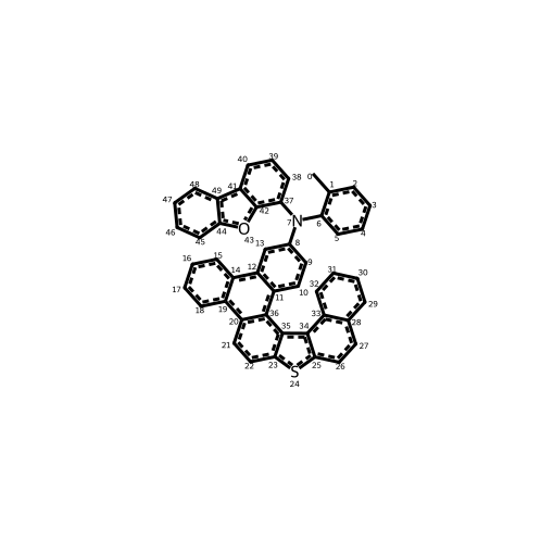 Cc1ccccc1N(c1ccc2c(c1)c1ccccc1c1ccc3sc4ccc5ccccc5c4c3c12)c1cccc2c1oc1ccccc12